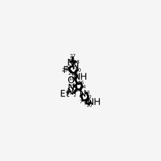 CCn1cc2c(N3CCC4(CCN4)CC3)ccc(C(=O)Nc3cc(F)c4nc(C)cn4c3)c2n1